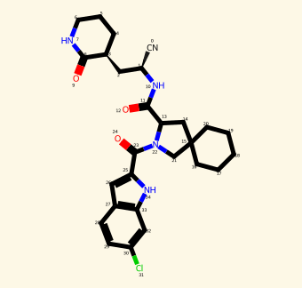 N#C[C@H](C[C@@H]1CCCNC1=O)NC(=O)C1CC2(CCCCC2)CN1C(=O)c1cc2ccc(Cl)cc2[nH]1